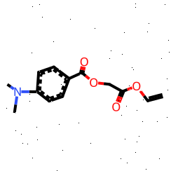 C=COC(=O)COC(=O)c1ccc(N(C)C)cc1